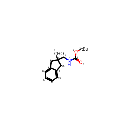 CC(C)(C)OC(=O)NCC1(C=O)Cc2ccccc2C1